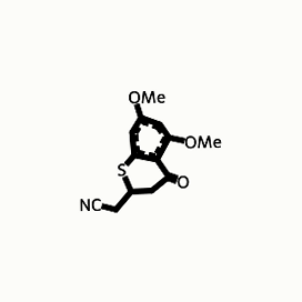 COc1cc(OC)c2c(c1)SC(CC#N)CC2=O